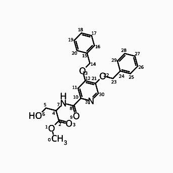 COC(=O)C(CO)NC(=O)c1cc(OCc2ccccc2)c(OCc2ccccc2)cn1